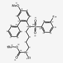 CCN(CCCCN(c1ccc(OC)cc1-c1ccccc1)S(=O)(=O)c1cccc(F)c1)C(=O)OC(C)(C)C